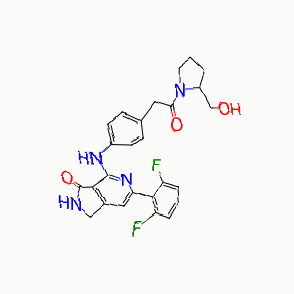 O=C1NCc2cc(-c3c(F)cccc3F)nc(Nc3ccc(CC(=O)N4CCCC4CO)cc3)c21